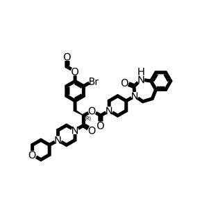 O=COc1ccc(C[C@@H](OC(=O)N2CCC(N3CCc4ccccc4NC3=O)CC2)C(=O)N2CCN(C3CCOCC3)CC2)cc1Br